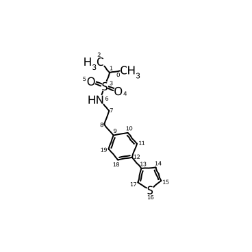 CC(C)S(=O)(=O)NCCc1ccc(-c2ccsc2)cc1